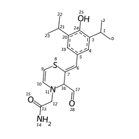 CC(C)c1cc(C=C2SC=CN(CC(N)=O)C2C=O)cc(C(C)C)c1O